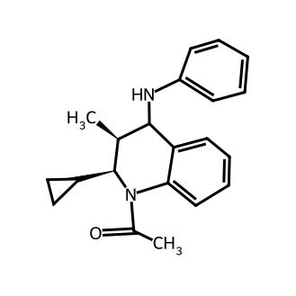 CC(=O)N1c2ccccc2C(Nc2ccccc2)[C@H](C)[C@@H]1C1CC1